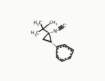 [C-]#[N+][C@@]1(C(C)(C)C)C[C@H]1c1ccccc1